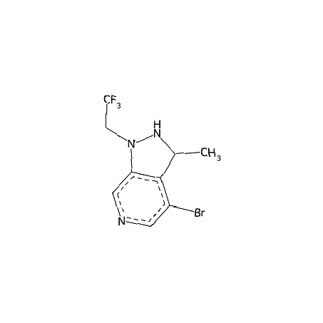 CC1NN(CC(F)(F)F)c2cncc(Br)c21